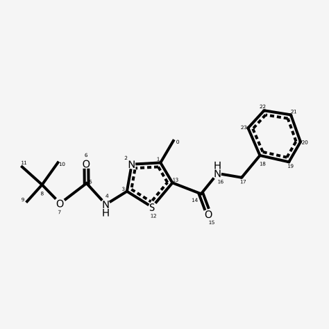 Cc1nc(NC(=O)OC(C)(C)C)sc1C(=O)NCc1ccccc1